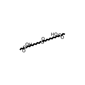 CCC(=O)OCC(O)CCCCCCCCOC(=O)CCCCCCCC(O)COC(=O)CC